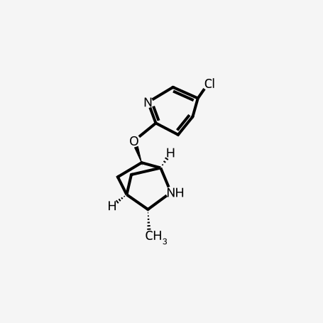 C[C@H]1N[C@H]2C[C@@H]1C[C@H]2Oc1ccc(Cl)cn1